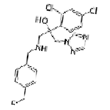 OC(CNCc1ccc(CF)cc1)(Cn1cncn1)c1ccc(Cl)cc1Cl